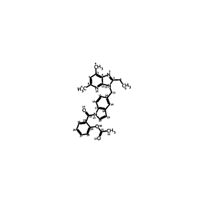 CCc1nc2c(C)cc(C)nc2n1Cc1ccc2c(ccn2C(=O)c2ccccc2OC(C)=O)c1